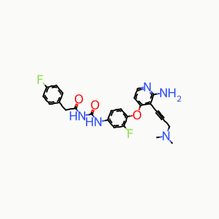 CN(C)CC#Cc1c(Oc2ccc(NC(=O)NC(=O)Cc3ccc(F)cc3)cc2F)ccnc1N